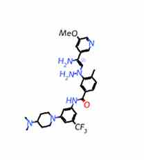 COc1cncc(/C(N)=C/N(N)c2cc(C(=O)Nc3cc(N4CCC(N(C)C)CC4)cc(C(F)(F)F)c3)ccc2C)c1